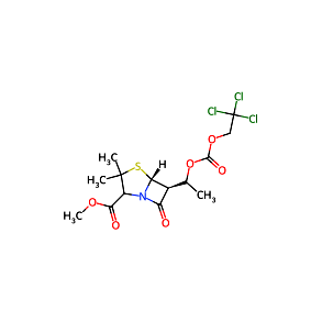 COC(=O)C1N2C(=O)[C@H](C(C)OC(=O)OCC(Cl)(Cl)Cl)[C@H]2SC1(C)C